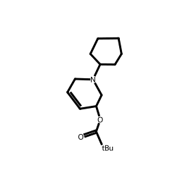 CC(C)(C)C(=O)OC1C=CCN(C2CCCCC2)C1